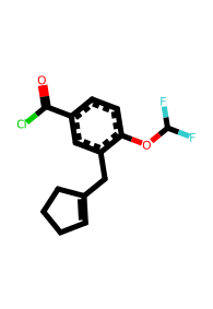 O=C(Cl)c1ccc(OC(F)F)c(CC2=CCCC2)c1